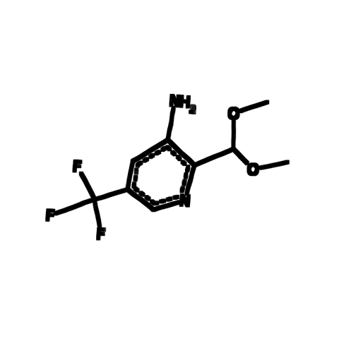 COC(OC)c1ncc(C(F)(F)F)cc1N